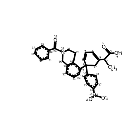 CC(C(=O)O)C1=CC=CC(c2ccc([N+](=O)[O-])cc2)(c2cccc3c2CCN(C(=O)c2ccccc2)C3)C1